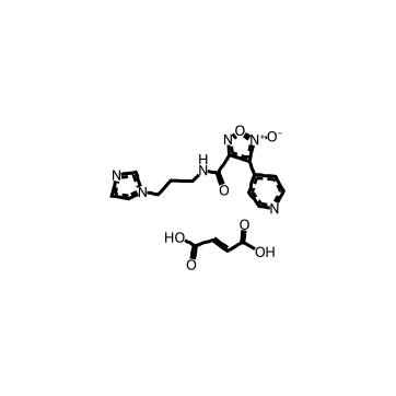 O=C(NCCCn1ccnc1)c1no[n+]([O-])c1-c1ccncc1.O=C(O)/C=C/C(=O)O